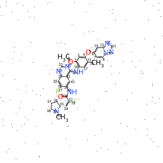 COc1cc(Oc2ccn3ncnc3c2)c(C)cc1Nc1ncnc2cc(F)c(NC(=O)/C(F)=C\[C@H]3CCCN3C)cc12